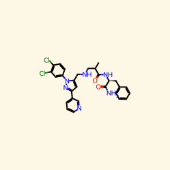 CC(CNCc1cc(-c2cccnc2)nn1-c1ccc(Cl)c(Cl)c1)C(=O)N[C@@H](Cc1ccccc1)C(N)=O